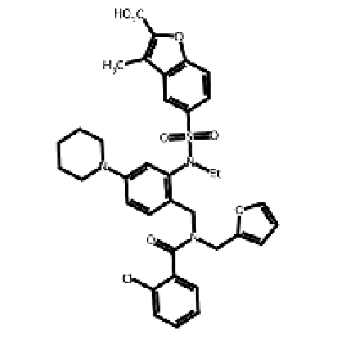 CCN(c1cc(N2CCCCC2)ccc1CN(Cc1ccco1)C(=O)c1ccccc1Cl)S(=O)(=O)c1ccc2oc(C(=O)O)c(C)c2c1